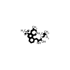 CC1=Cc2c(S(C)(=O)=O)cc3c(c2C=NC1)C(CC(=N)C(O)OCC(C)(C)C)CCC3